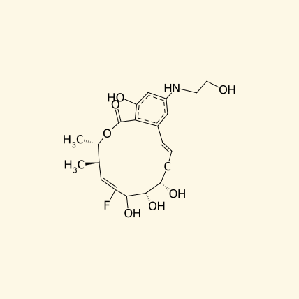 C[C@@H]1/C=C(/F)C(O)[C@@H](O)[C@@H](O)C/C=C/c2cc(NCCO)cc(O)c2C(=O)O[C@H]1C